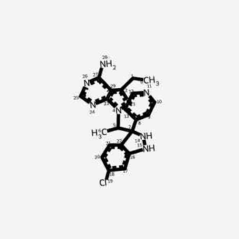 CCc1nn(C(C)C2(c3ccncc3)NNc3cc(Cl)ccc32)c2ncnc(N)c12